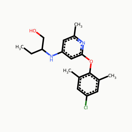 CCC(CO)Nc1cc(C)nc(Oc2c(C)cc(Cl)cc2C)c1